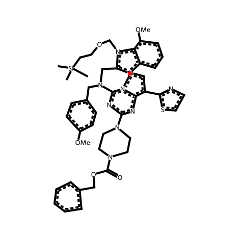 COc1ccc(CN(Cc2nc3cccc(OC)c3n2COCC[Si](C)(C)C)c2nc(N3CCN(C(=O)OCc4ccccc4)CC3)nc3c(-c4nccs4)cnn23)cc1